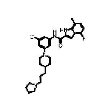 Cc1ccc(F)c2cc(C(=O)Nc3cc(Cl)cc(N4CCC(CCCN5CCCC5)CC4)c3)[nH]c12